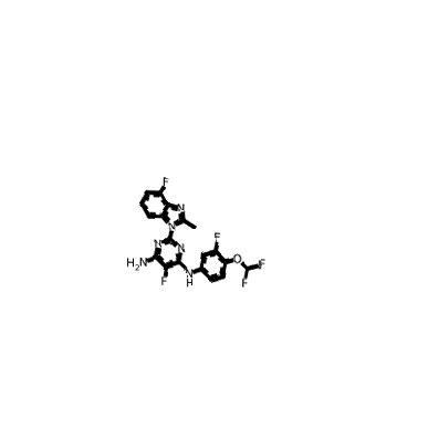 Cc1nc2c(F)cccc2n1-c1nc(N)c(F)c(Nc2ccc(OC(F)F)c(F)c2)n1